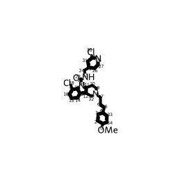 COc1ccc(C=CCN2CCc3c(c4cccc(Cl)c4n3C(=O)NCc3ccnc(Cl)c3)C2)cc1